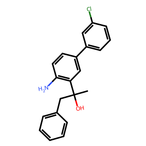 CC(O)(Cc1ccccc1)c1cc(-c2cccc(Cl)c2)ccc1N